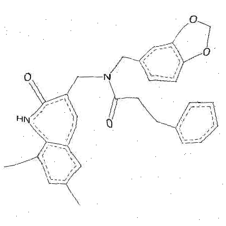 Cc1cc(C)c2[nH]c(=O)c(CN(Cc3ccc4c(c3)OCO4)C(=O)CCc3ccccc3)cc2c1